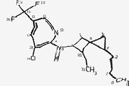 CCCC1CC12CC(Nc1ncc(C(F)(F)F)cc1Cl)C2C